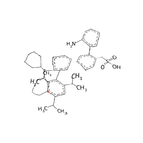 CC(C)c1cc(C(C)C)c(-c2ccccc2P(C2CCCCC2)C2CCCCC2)c(C(C)C)c1.Nc1ccccc1-c1ccccc1CS(=O)(=O)O